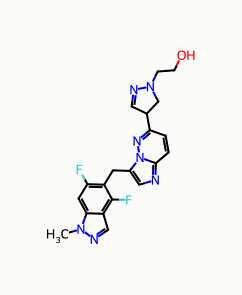 Cn1ncc2c(F)c(Cc3cnc4ccc(C5C=NN(CCO)C5)nn34)c(F)cc21